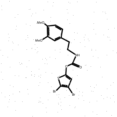 COc1ccc(CCNC(=O)Oc2cc(Br)c(Br)s2)cc1OC